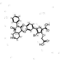 O=C(O)COc1c(C(=O)O)sc(-c2cccc(OC(C(=O)N(c3ccccc3)[N+](=O)[O-])C3CCNCC3)c2)c1Br